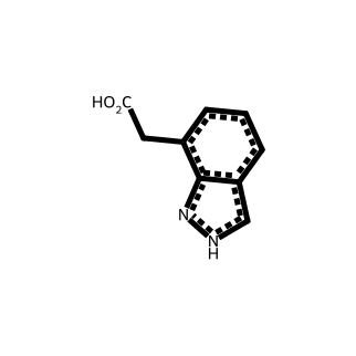 O=C(O)Cc1cccc2c[nH]nc12